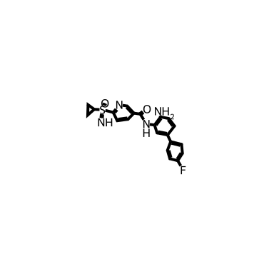 N=S(=O)(c1ccc(C(=O)Nc2cc(-c3ccc(F)cc3)ccc2N)cn1)C1CC1